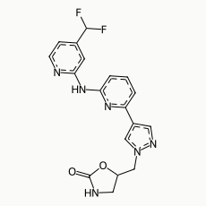 O=C1NCC(Cn2cc(-c3cccc(Nc4cc(C(F)F)ccn4)n3)cn2)O1